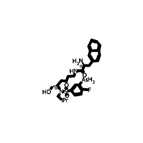 CC(C)CN([C@H](CO)CCCCNC(=O)[C@@H](N)Cc1ccc2ccccc2c1)S(=O)(=O)c1ccc(F)c([AsH2])c1